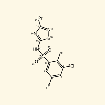 Cc1c(Cl)cc(F)cc1S(=O)(=O)Nc1nc(C(C)C)ns1